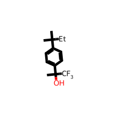 CCC(C)(C)c1ccc(C(C)(O)C(F)(F)F)cc1